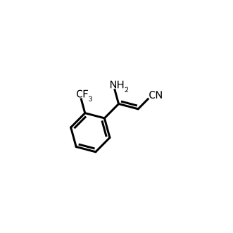 N#CC=C(N)c1ccccc1C(F)(F)F